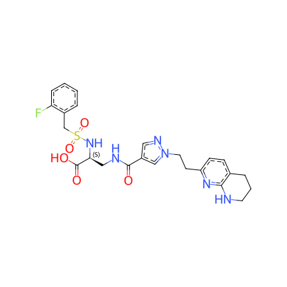 O=C(NC[C@H](NS(=O)(=O)Cc1ccccc1F)C(=O)O)c1cnn(CCc2ccc3c(n2)NCCC3)c1